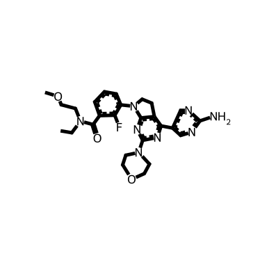 CCN(CCOC)C(=O)c1cccc(N2CCc3c(-c4cnc(N)nc4)nc(N4CCOCC4)nc32)c1F